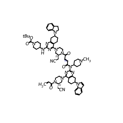 C=CC(=O)N1CCN(c2nc(N(C(=O)/C=C/C(=O)N3CCN(c4nc(NC5CCN(C(=O)OC(C)(C)C)CC5)nc5c4CCC(N4CCc6ccccc64)C5)C[C@@H]3CC#N)C3CCN(C)CC3)nc3c2CCC(n2ccc4ccccc42)C3)C[C@@H]1CC#N